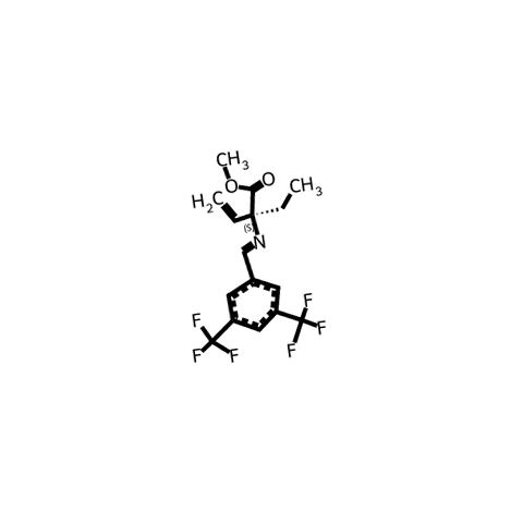 C=C[C@](CC)(N=Cc1cc(C(F)(F)F)cc(C(F)(F)F)c1)C(=O)OC